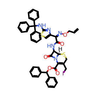 C=CCO/N=C(\C(=O)NC1C(=O)N2C(C(=O)OC(c3ccccc3)c3ccccc3)=C(CI)CS[C@H]12)c1csc(NC(c2ccccc2)(c2ccccc2)c2ccccc2)n1